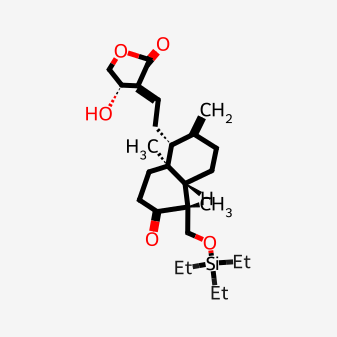 C=C1CC[C@H]2[C@@](C)(CCC(=O)[C@@]2(C)CO[Si](CC)(CC)CC)[C@@H]1C/C=C1/C(=O)OC[C@H]1O